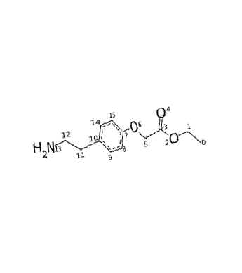 CCOC(=O)COc1ccc(CCN)cc1